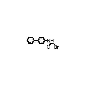 O=C(CBr)Nc1ccc(-c2ccccc2)cc1